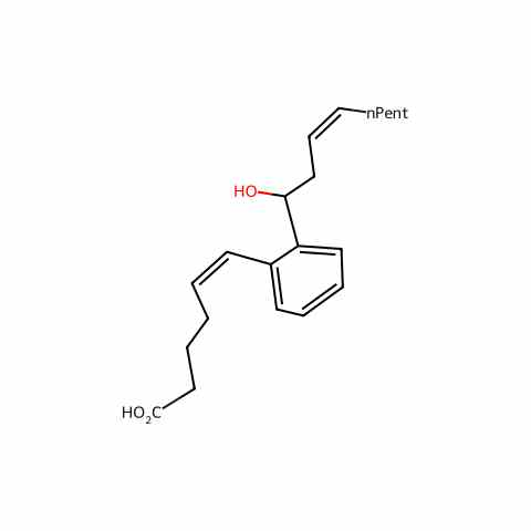 CCCCC/C=C\CC(O)c1ccccc1/C=C\CCCC(=O)O